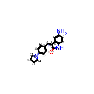 Nc1ccc2c(c1)/C(=C/c1ccc(N3CCCC3)cc1)C(=O)N2